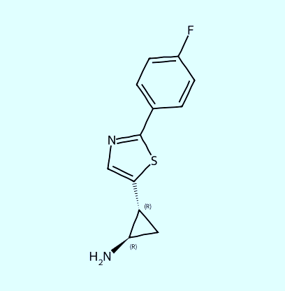 N[C@@H]1C[C@H]1c1cnc(-c2ccc(F)cc2)s1